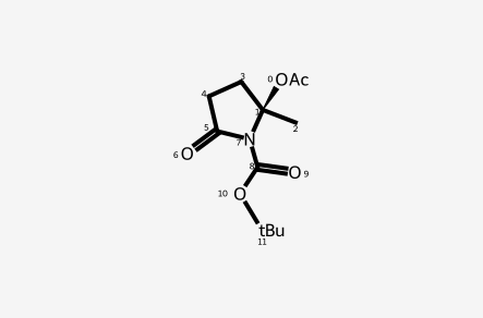 CC(=O)O[C@]1(C)CCC(=O)N1C(=O)OC(C)(C)C